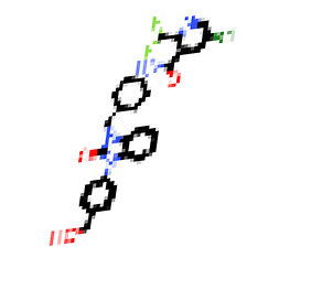 O=C(N[C@H]1CC[C@H](Cn2c(=O)n(-c3ccc(CO)cc3)c3ccccc32)CC1)c1cc(Cl)cnc1C(F)F